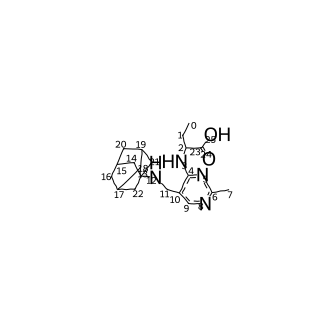 CCC(Nc1nc(C)ncc1CNC12CC3CC(CC(C3)C1)C2)C(=O)O